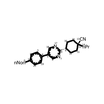 CCCCCCCCCc1ccc(-c2cnc([C@H]3CC[C@@](C#N)(CCC)CC3)nc2)cc1